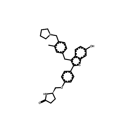 Cc1cc(Cc2c(-c3ccc(OC[C@H]4CCC(=O)N4)cc3)sc3cc(O)ccc23)ccc1CN1CCCC1